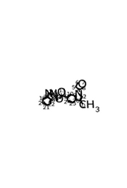 Cc1cn(C2CCOC2)c2cc(C(=O)On3nnc4ccccc43)ccc12